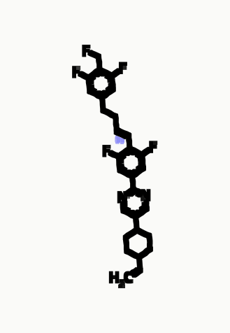 C=CC1CCC(c2cnc(-c3cc(F)c(/C=C/CCc4cc(F)c(CF)c(F)c4)c(F)c3)nc2)CC1